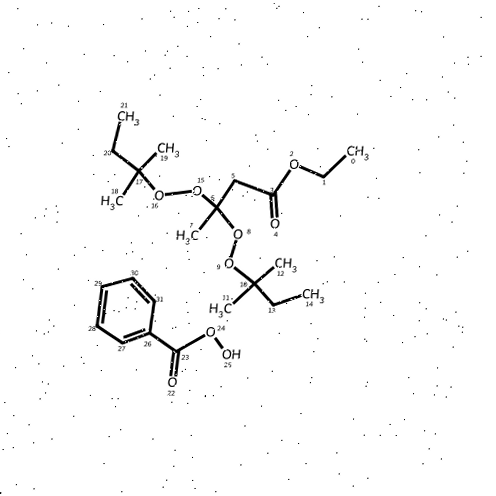 CCOC(=O)CC(C)(OOC(C)(C)CC)OOC(C)(C)CC.O=C(OO)c1ccccc1